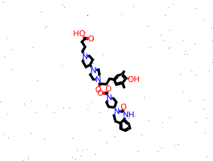 Cc1cc(CC(OC(=O)N2CCC(N3CCc4ccccc4NC3=O)CC2)C(=O)N2CCN(C3CCN(CCCC(=O)O)CC3)CC2)cc(C)c1O